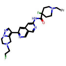 CC(C)CN1CCC(F)(C(=O)Nc2cc3cc(-c4cnn5c4CN(CCF)CC5)ncc3cn2)CC1